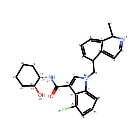 CC1N=CC=C2C1=CC=CC2Cn1cc(C(=O)N[C@H]2CCCC[C@@H]2O)c2c(F)cccc21